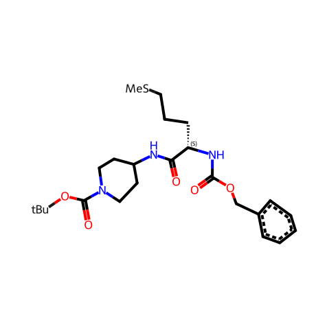 CSCCC[C@H](NC(=O)OCc1ccccc1)C(=O)NC1CCN(C(=O)OC(C)(C)C)CC1